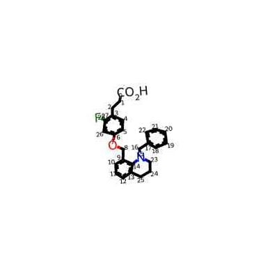 O=C(O)CCc1ccc(OCc2cccc3c2N(Cc2ccccc2)CCC3)cc1F